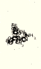 COc1c(Oc2cc3c(c(C)c2C(=O)Nc2ccnc(C(N)=O)c2)OC(F)(F)O3)ccc(OC(F)(F)F)c1F